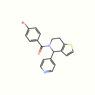 O=C(c1ccc(Br)cc1)N1CCc2sccc2C1c1ccncc1